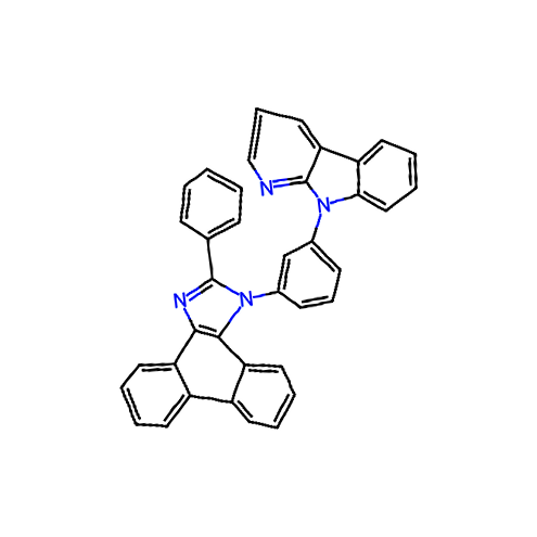 c1ccc(-c2nc3c4ccccc4c4ccccc4c3n2-c2cccc(-n3c4ccccc4c4cccnc43)c2)cc1